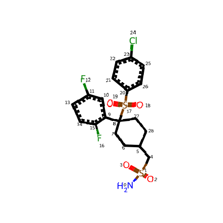 NS(=O)(=O)CC1CCC(c2cc(F)ccc2F)(S(=O)(=O)c2ccc(Cl)cc2)CC1